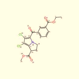 CCOC(=O)c1cccc(C(=O)c2c(Cl)c(Cl)c3n2CCC3C(=O)OC)c1